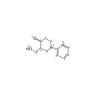 O=C1CCN(c2ccccn2)CC1CO